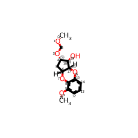 COCO[C@H]1C[C@H]2Oc3c(OC)cccc3O[C@H]2[C@@H]1O